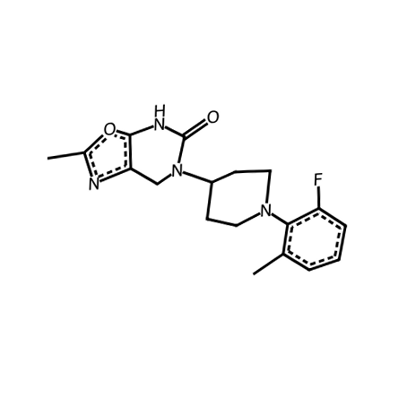 Cc1nc2c(o1)NC(=O)N(C1CCN(c3c(C)cccc3F)CC1)C2